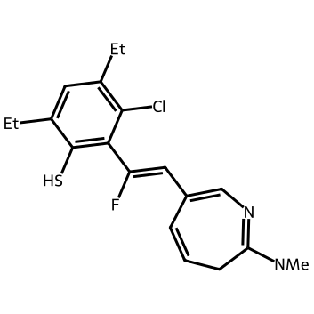 CCc1cc(CC)c(Cl)c(/C(F)=C/C2=CN=C(NC)CC=C2)c1S